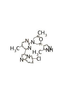 Cc1cnc(N2C[C@@H](c3cn[nH]c3C)O[C@@H](C)C2)nc1-c1cnc2ccc(Cl)cn12